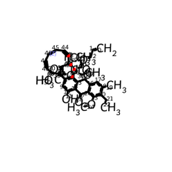 C=CCOC(=O)N1c2c(cc(O)c3c2C(=O)c2cc(C)c(CC)c(OC)c2C3=O)[C@@]23O[C@@]2([C@@H](C)O[Si](CC)(CC)CC)[C@@H]1C#C/C=C\C#C[C@H]3O